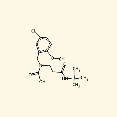 COc1ccc(Cl)cc1CN(CCC(=O)NC(C)(C)C)C(=O)O